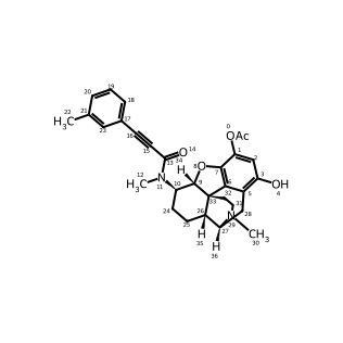 CC(=O)Oc1cc(O)c2c3c1O[C@H]1[C@H](N(C)C(=O)C#Cc4cccc(C)c4)CC[C@H]4[C@@H](C2)N(C)CC[C@@]341